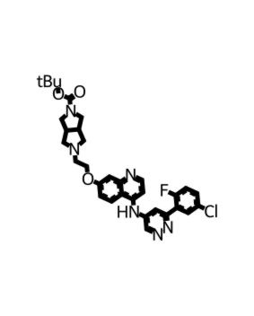 CC(C)(C)OC(=O)N1CC2CN(CCOc3ccc4c(Nc5cnnc(-c6cc(Cl)ccc6F)c5)ccnc4c3)CC2C1